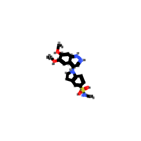 CNS(=O)(=O)c1ccc2c(c1)CCN2c1cnnc2cc(OC)c(OC)cc12